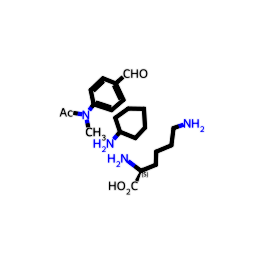 CC(=O)N(C)c1ccc(C=O)cc1.NC1CCCCC1.NCCCC[C@H](N)C(=O)O